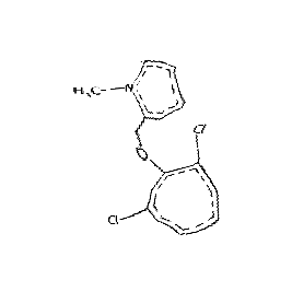 Cn1[c]ccc1Oc1c(Cl)cccc1Cl